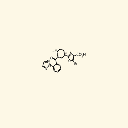 C[C@@H]1CC[C@@H](c2nc(C(=O)O)c(Br)o2)CN1C(=O)c1ccccc1-n1nccn1